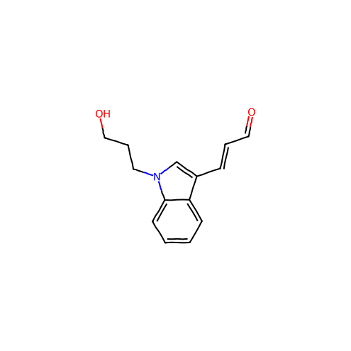 O=CC=Cc1cn(CCCO)c2ccccc12